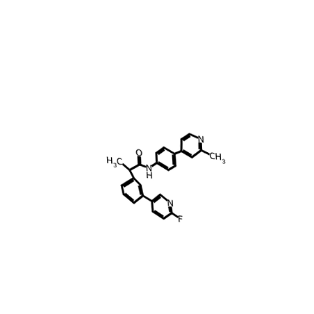 Cc1cc(-c2ccc(NC(=O)C(C)c3cccc(-c4ccc(F)nc4)c3)cc2)ccn1